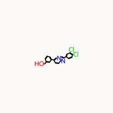 OCc1cccc(-c2ccc3nc(-c4ccc(Cl)c(Cl)c4)cn3c2)c1